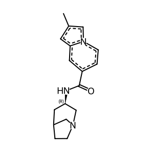 Cc1cc2cc(C(=O)N[C@@H]3CC4CCN(C4)C3)ccn2c1